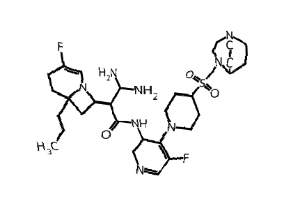 CCCC12CCC(F)=CN1C(C(C(=O)NC1CN=CC(F)=C1N1CCC(S(=O)(=O)N3CCN4CCC3CC4)CC1)C(N)N)C2